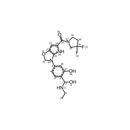 CCNC(O)c1ccc(N2COc3cc(C(=O)N4CCC(F)(F)C4)[nH]c32)cc1O